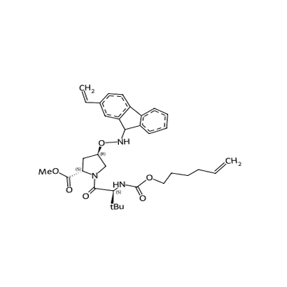 C=CCCCCOC(=O)N[C@H](C(=O)N1C[C@H](ONC2c3ccccc3-c3ccc(C=C)cc32)C[C@H]1C(=O)OC)C(C)(C)C